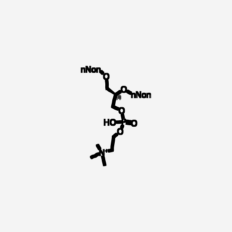 CCCCCCCCCOC[C@H](COP(=O)(O)OCC[N+](C)(C)C)OCCCCCCCCC